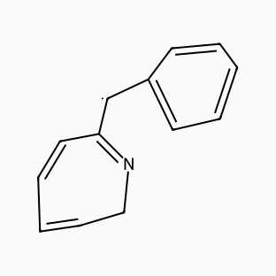 [CH](C1=NCC=CC=C1)c1ccccc1